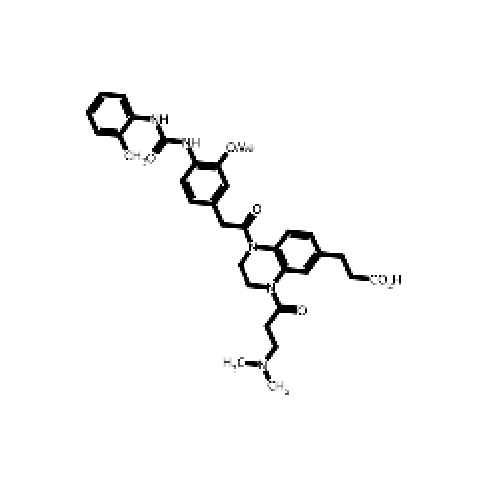 COc1cc(CC(=O)N2CCN(C(=O)CCN(C)C)c3cc(CCC(=O)O)ccc32)ccc1NC(=O)Nc1ccccc1C